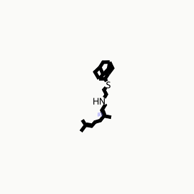 CC(C)=CCC/C(C)=C/CNCCSC1C2CC3CC(C2)CC1C3